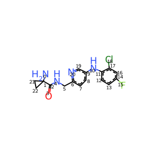 NC1(C(=O)NCc2ccc(Nc3ccc(F)cc3Cl)cn2)CC1